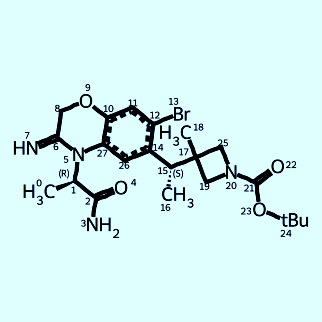 C[C@H](C(N)=O)N1C(=N)COc2cc(Br)c([C@@H](C)C3(C)CN(C(=O)OC(C)(C)C)C3)cc21